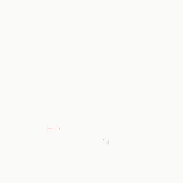 C[Si](C)(C)C1=Cc2ccccc2C1O